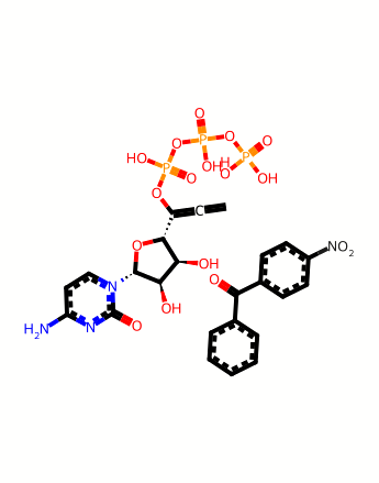 C=C=C(OP(=O)(O)OP(=O)(O)OP(=O)(O)O)[C@H]1O[C@@H](n2ccc(N)nc2=O)[C@H](O)[C@@H]1O.O=C(c1ccccc1)c1ccc([N+](=O)[O-])cc1